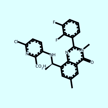 Cc1cc([C@@H](C)Nc2ccc(Cl)nc2C(=O)O)c2nc(-c3cccc(F)c3F)n(C)c(=O)c2c1